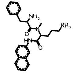 CN(C(=O)C(N)Cc1ccccc1)C(CCCN)C(=O)Nc1ccc2ccccc2c1